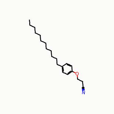 CCCCCCCCCCCCc1ccc(OCCC#N)cc1